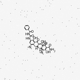 CN(C)c1cc(NC(=O)NC(=O)c2ccccc2)c(O)c2c1C[C@H]1C[C@H]3[C@@H](N(C)C)C(O)=C(C(N)=O)C(=O)[C@]3(O)C(O)=C1C2=O